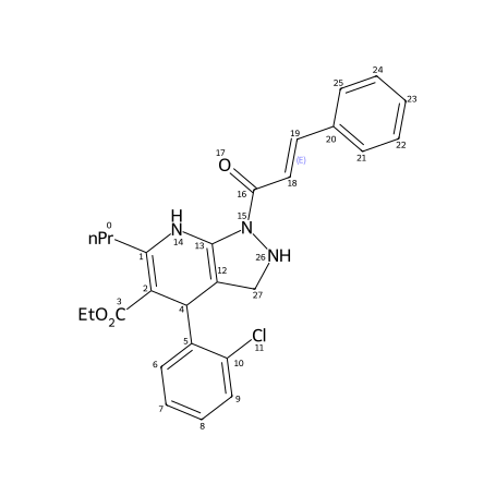 CCCC1=C(C(=O)OCC)C(c2ccccc2Cl)C2=C(N1)N(C(=O)/C=C/c1ccccc1)NC2